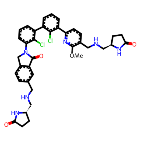 COc1nc(-c2cccc(-c3cccc(N4Cc5ccc(CNC[C@@H]6CCC(=O)N6)cc5C4=O)c3Cl)c2Cl)ccc1CNC[C@H]1CCC(=O)N1